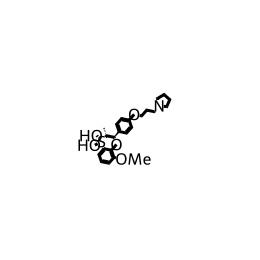 COc1cccc2c1O[C@H](c1ccc(OCCCN3CCCC3)cc1)[C@@H](C)S2(O)O